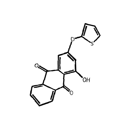 O=C1c2ccccc2C(=O)c2c(O)cc(Oc3cccs3)cc21